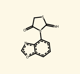 N=C1SCC(=O)N1c1cccc2ocnc12